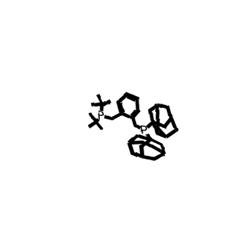 CC(C)(C)P(Cc1ccccc1CP(C12CC3CC(CC(C3)C1)C2)C12CC3CC(CC(C3)C1)C2)C(C)(C)C